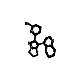 Brc1cccc(-c2nn3c(c2-c2ccnc4ccccc24)CCC3)n1